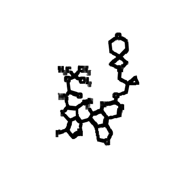 CC(C)(C)OC(=O)Nc1sc2c(F)cnc(-c3c4c(c5cnc(OCC6(CN7CC8(CCOCC8)C7)CC6)nc5c3F)COC4)c2c1C#N